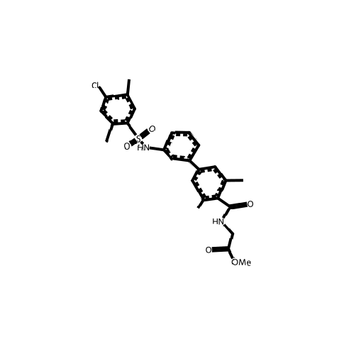 COC(=O)CNC(=O)c1c(C)cc(-c2cccc(NS(=O)(=O)c3cc(C)c(Cl)cc3C)c2)cc1C